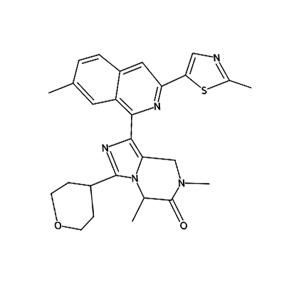 Cc1ccc2cc(-c3cnc(C)s3)nc(-c3nc(C4CCOCC4)n4c3CN(C)C(=O)C4C)c2c1